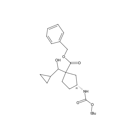 CC(C)(C)OC(=O)N[C@@H]1CCC(C(=O)OCc2ccccc2)(C(O)C2CC2)C1